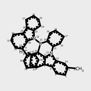 Cc1ccc2c3ccc(C)c4c3n(c2c1)-c1ccccc1B4n1c2ccccc2c2cccc(-c3ccccc3)c21